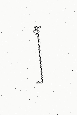 COCCOCCOCCOCCOCCOCCOCCOCCOCC(=O)ON1C(=O)CCC1=O